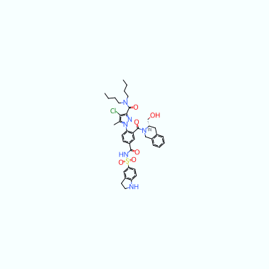 CCCCN(CCCC)C(=O)c1nn(-c2ccc(C(=O)NS(=O)(=O)c3ccc4c(c3)CCN4)cc2C(=O)N2Cc3ccccc3C[C@H]2CO)c(C)c1Cl